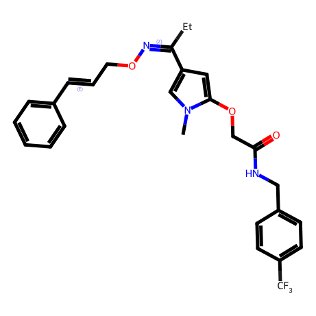 CC/C(=N/OC/C=C/c1ccccc1)c1cc(OCC(=O)NCc2ccc(C(F)(F)F)cc2)n(C)c1